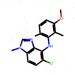 COc1ccc(C)c(Nc2c(Cl)ccc3c2ncn3C)c1C